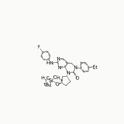 CCc1ccc(N2Cc3cnc(Nc4ccc(F)cc4)nc3N([C@@H]3CC[C@@H](O[Si](C)(C)C(C)(C)C)C3)C2=O)cc1